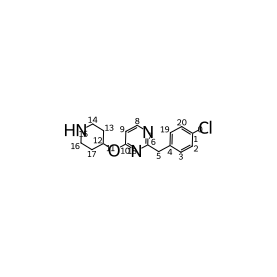 Clc1ccc(Cc2nccc(OC3CCNCC3)n2)cc1